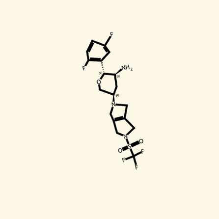 N[C@H]1C[C@@H](N2CC3=C(C2)CN(S(=O)(=O)C(F)(F)F)C3)CO[C@@H]1c1cc(F)ccc1F